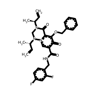 [CH2][C@@H](C=C)N1CN([C@@H](C)C=C)C(=O)c2c(OCc3ccccc3)c(=O)c(C(=O)NCc3ccc(F)cc3F)cn21